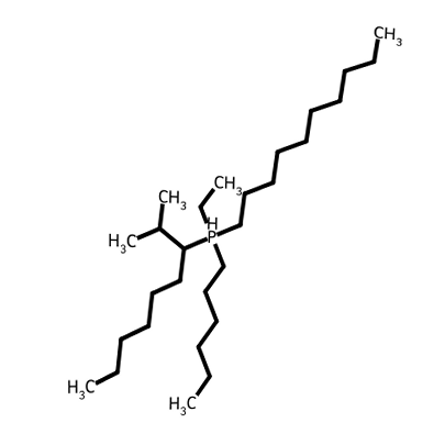 CCCCCCCCCC[PH](CC)(CCCCCC)C(CCCCCC)C(C)C